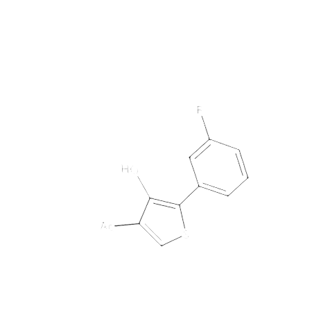 CC(=O)c1csc(-c2cccc(F)c2)c1O